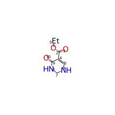 CCOC(=O)C1=CNCNC1=O